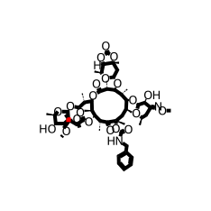 CON=C1C[C@@H](C)O[C@@H](O[C@@H]2[C@@H](C)[C@H](O[C@H]3C[C@@]4(C)OC(=O)O[C@H]4[C@H](C)O3)[C@@H](C)C(=O)O[C@H]([C@@H](C)CO[C@@H]3O[C@H](C)[C@@H](O)[C@@H](OC)[C@H]3OC)[C@H](C)[C@@H](OC(=O)CC(C)C)[C@@H](C)C(=O)[C@@](C)(OC(=O)NCc3ccccc3)C[C@@H]2C)[C@@H]1O